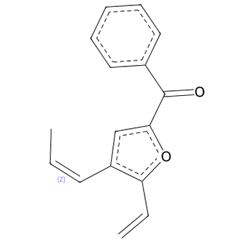 C=Cc1oc(C(=O)c2ccccc2)cc1/C=C\C